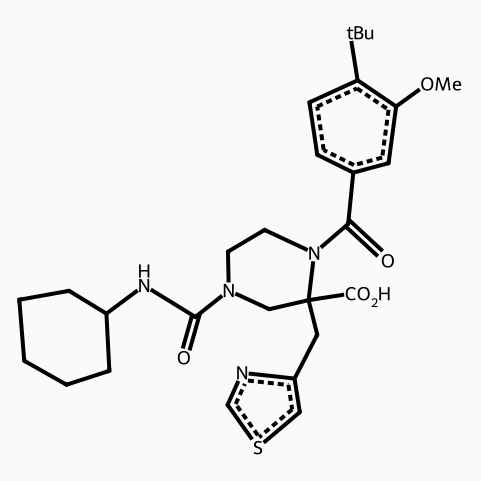 COc1cc(C(=O)N2CCN(C(=O)NC3CCCCC3)CC2(Cc2cscn2)C(=O)O)ccc1C(C)(C)C